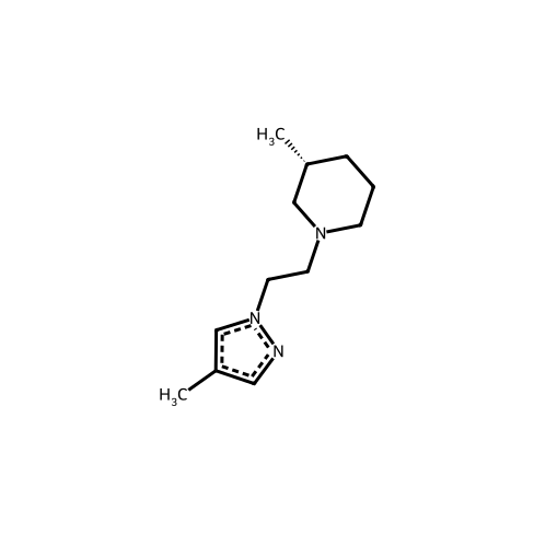 Cc1cnn(CCN2CCC[C@@H](C)C2)c1